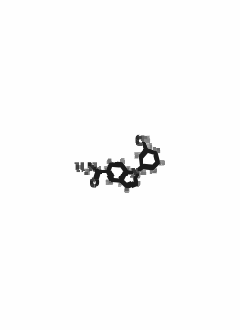 NC(=O)c1ccc2c(ccn2-c2cccc(Cl)c2)c1